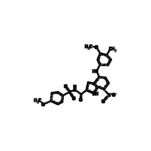 COc1ccc(S(=O)(=O)NC(=O)c2cc3c(Nc4ccc(C)c(OC)c4)ccc([N+](=O)[O-])c3[nH]2)cc1